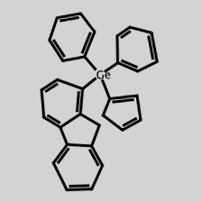 C1=CC[C]([Ge]([c]2ccccc2)([c]2ccccc2)[c]2cccc3c2Cc2ccccc2-3)=C1